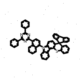 c1ccc(-c2nc(-c3ccccc3)nc(-c3ccc(-n4c5ccccc5c5c6c(ccc54)C4(c5ccccc5S6)c5ccccc5-c5ccccc54)c4ccccc34)n2)cc1